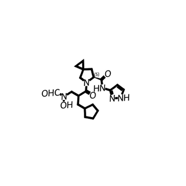 O=CN(O)CC(CC1CCCC1)C(=O)N1CC2(CC2)C[C@H]1C(=O)Nc1cc[nH]n1